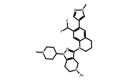 CC(=O)N1CCc2c(c(N3CCCc4cc(-c5cnn(C)c5)c(C(F)F)cc43)nn2C2CCN(C)CC2)C1